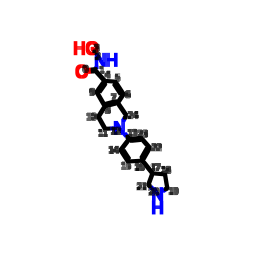 O=C(NO)c1ccc2c(c1)CCN(c1ccc(C3CCNC3)cc1)C2